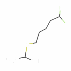 CCOC(=O)C(C)SCCCCC(F)F